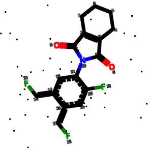 O=C1C2=C(CCCC2)C(=O)N1c1cc(=CF)c(=CF)cc1F